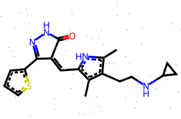 Cc1[nH]c(C=C2C(=O)NN=C2c2cccs2)c(C)c1CCNC1CC1